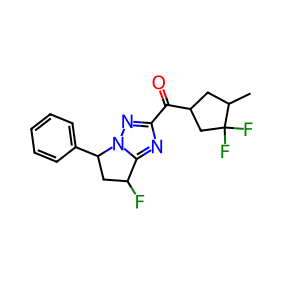 CC1CC(C(=O)c2nc3n(n2)C(c2ccccc2)CC3F)CC1(F)F